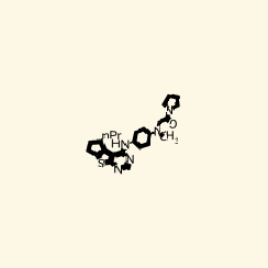 CCC[C@H]1CCc2sc3ncnc(N[C@H]4CC[C@H](N(C)CC(=O)N5CCCC5)CC4)c3c21